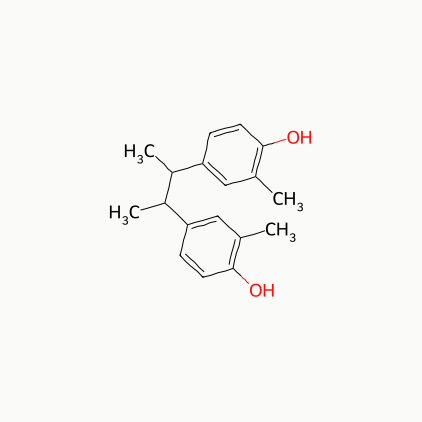 Cc1cc(C(C)C(C)c2ccc(O)c(C)c2)ccc1O